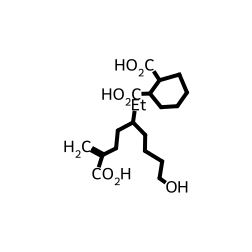 C=C(CCC(CC)CCCCO)C(=O)O.O=C(O)C1CCCCC1C(=O)O